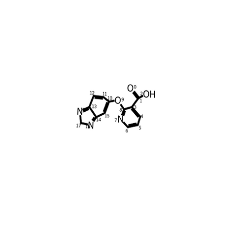 O=C(O)c1cccnc1Oc1ccc2c(c1)=NCN=2